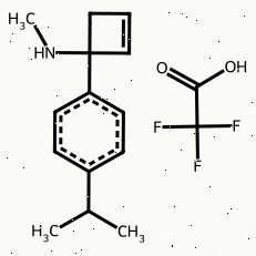 CNC1(c2ccc(C(C)C)cc2)C=CC1.O=C(O)C(F)(F)F